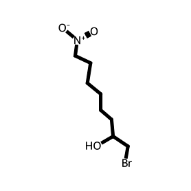 O=[N+]([O-])CCCCCCC(O)CBr